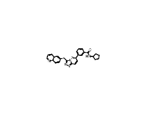 O=C(NC1CCCC1)c1cccc(-c2ccc3nnc(CC4=CC5C=CC=NC5C=C4)n3n2)c1